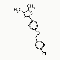 CC1SC(c2ccc(OCc3ccc(Cl)cc3)cc2)SC1C